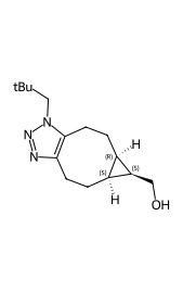 CC(C)(C)Cn1nnc2c1CC[C@H]1[C@@H](CO)[C@H]1CC2